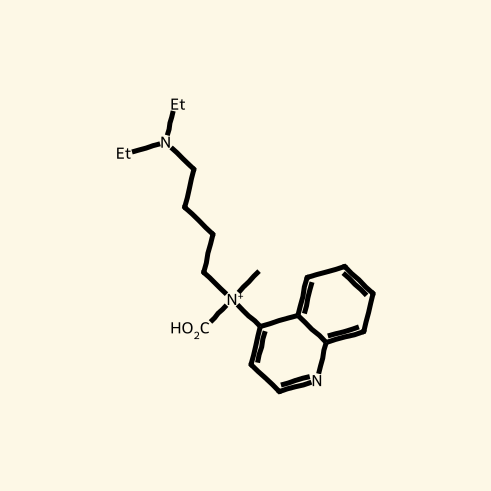 CCN(CC)CCCC[N+](C)(C(=O)O)c1ccnc2ccccc12